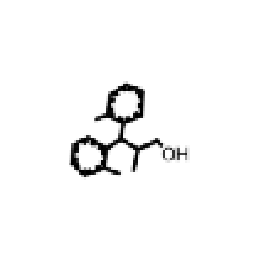 Cc1ccccc1C(c1ccccc1C)C(C)CO